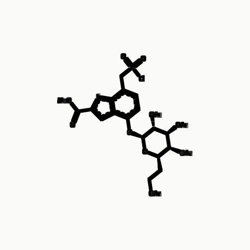 COC(=O)c1cc2c(O[C@@H]3O[C@H](CCOC(C)=O)[C@H](OC(C)=O)[C@H](OC(C)=O)[C@H]3OC(C)=O)ccc(CS(=O)(=O)Cl)c2s1